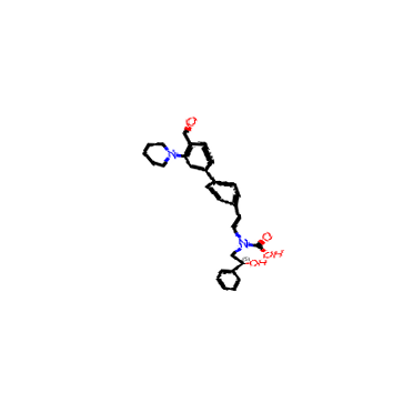 O=Cc1ccc(-c2ccc(CCN(C[C@@H](O)c3ccccc3)C(=O)O)cc2)cc1N1CCCCC1